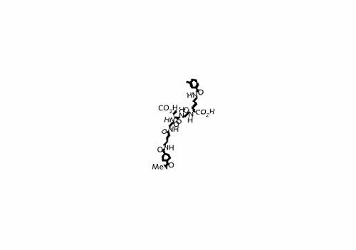 CNC(=O)C1CCC(C(=O)NCCCCC(=O)NCC(=O)N[C@H](CCC(=O)O)C(=O)NCC(=O)N[C@H](CCCCNC(=O)C2=CCCC(C)=C2)C(=O)O)CC1